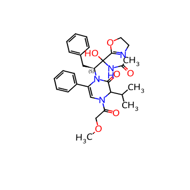 COCC(=O)N1C=C(c2ccccc2)N([C@@H](Cc2ccccc2)C(O)(NC(C)=O)C2=NCCO2)C(=O)C1C(C)C